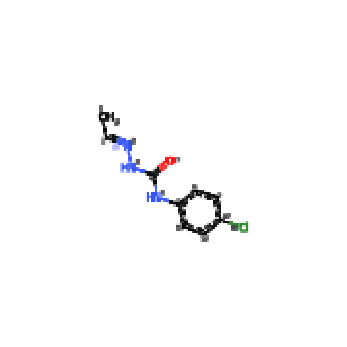 C/C=N/NC(=O)Nc1ccc(Cl)cc1